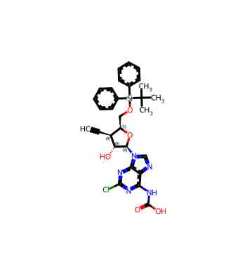 C#C[C@@H]1[C@@H](O)[C@H](n2cnc3c(NC(=O)O)nc(Cl)nc32)O[C@@H]1CO[Si](c1ccccc1)(c1ccccc1)C(C)(C)C